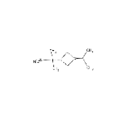 CC(C)N1CC(C(C)(C)C#N)C1